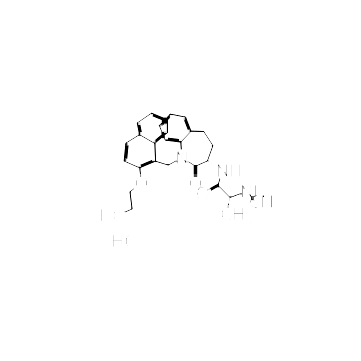 CCCOc1ccc2ccccc2c1CN1C(=O)[C@@H](NC(=O)[C@H](C)NC)CCc2ccccc21.Cl